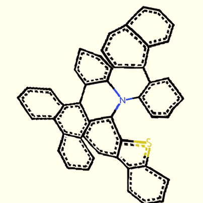 c1ccc(N(c2ccccc2-c2cc3ccccc3c3ccccc23)c2cccc3c2sc2ccccc23)c(-c2cccc3ccccc23)c1